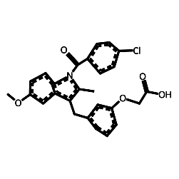 COc1ccc2c(c1)c(Cc1cccc(OCC(=O)O)c1)c(C)n2C(=O)c1ccc(Cl)cc1